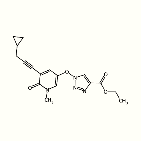 CCOC(=O)c1cn(Oc2cc(C#CCC3CC3)c(=O)n(C)c2)nn1